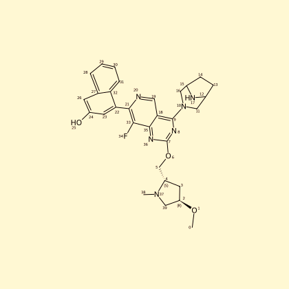 CO[C@@H]1C[C@@H](COc2nc(N3CC4CCC(C3)N4)c3cnc(-c4cc(O)cc5ccccc45)c(F)c3n2)N(C)C1